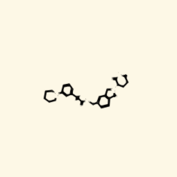 O=C1CC[C@@H](N2Cc3cc(CNC(=O)C(F)(F)c4cccc(N5CCCCC5)c4)ccc3C2=O)C(=O)N1